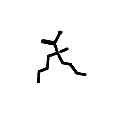 CCCC[N+](C)(CCCC)C(=O)[O-]